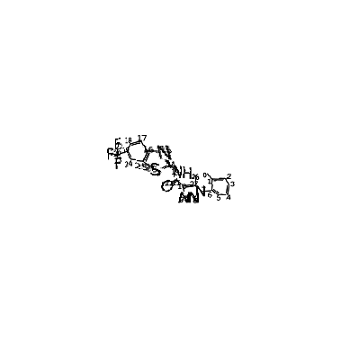 Cc1ccccc1-n1nnc(C(=O)Nc2nc3ccc(C(F)(F)F)cc3s2)c1C